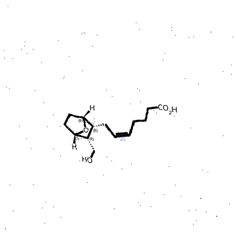 O=C(O)CCC/C=C\C[C@@H]1[C@H](CO)[C@@H]2CC[C@H]1O2